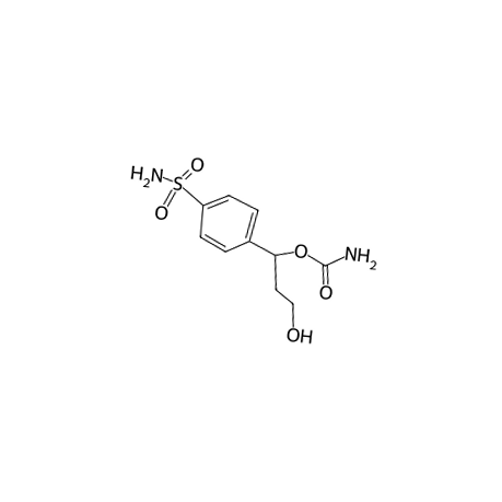 NC(=O)OC(CCO)c1ccc(S(N)(=O)=O)cc1